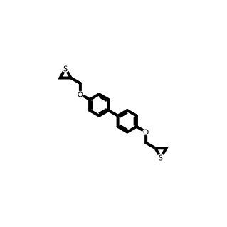 c1cc(-c2ccc(OCC3CS3)cc2)ccc1OCC1CS1